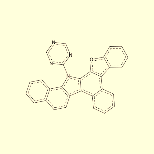 c1ccc2c(c1)ccc1c3c4ccccc4c4c5ccccc5oc4c3n(-c3ncncn3)c21